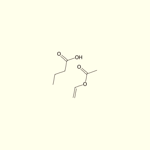 C=COC(C)=O.CCCC(=O)O